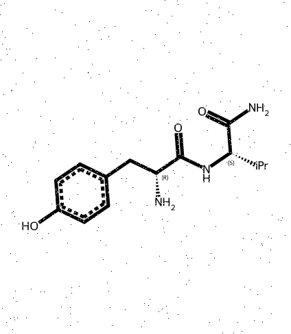 CC(C)[C@H](NC(=O)[C@H](N)Cc1ccc(O)cc1)C(N)=O